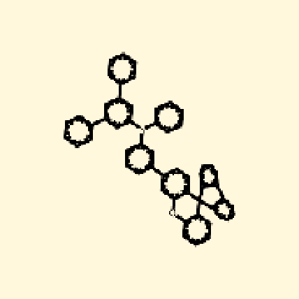 c1ccc(-c2cc(-c3ccccc3)cc(N(c3ccccc3)c3cccc(-c4ccc5c(c4)Oc4ccccc4C54c5ccccc5-c5ccccc54)c3)c2)cc1